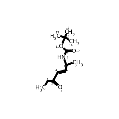 CCC(=O)/C=C/C(C)NC(=O)OC(C)(C)C